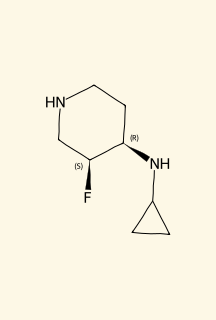 F[C@H]1CNCC[C@H]1NC1CC1